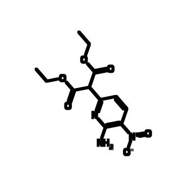 CCOC(=O)C(C(=O)OCC)c1ccc([N+](=O)[O-])c(N)n1